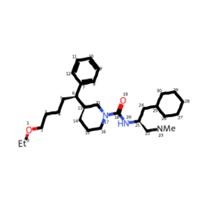 CCOCCCC[C@@H](c1ccccc1)[C@@H]1CCCN(C(=O)N[C@H](CNC)CC2CCCCC2)C1